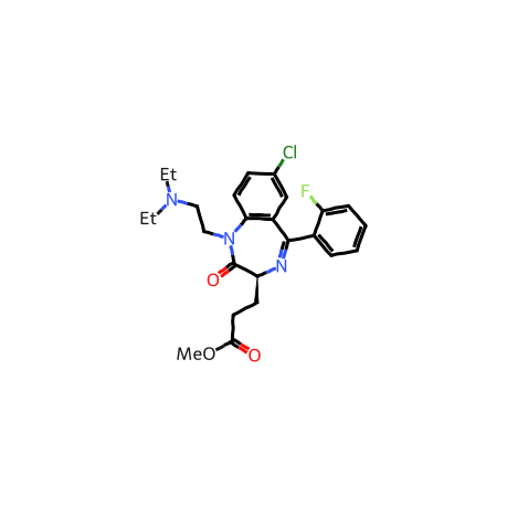 CCN(CC)CCN1C(=O)[C@H](CCC(=O)OC)N=C(c2ccccc2F)c2cc(Cl)ccc21